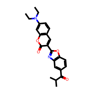 CCN(CC)c1ccc2cc(-c3nc4cc(C(=O)C(C)C)ccc4o3)c(=O)oc2c1